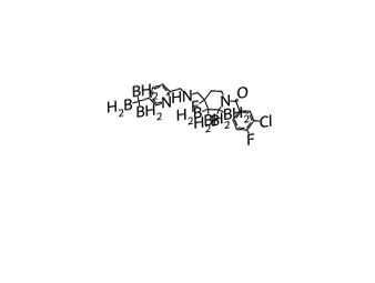 BC(B)(B)c1ccc(CNCC2(F)CCN(C(=O)c3ccc(F)c(Cl)c3)C(B)(B)C2(B)B)nc1